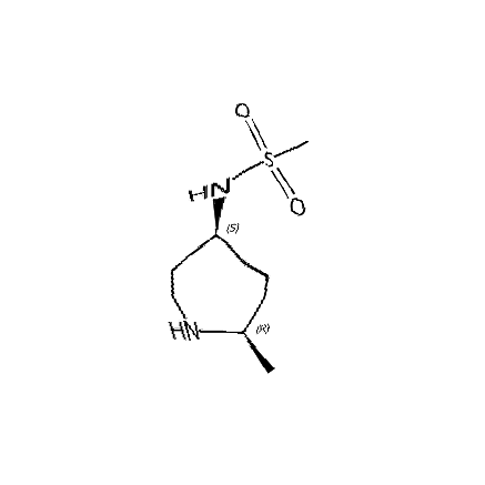 C[C@@H]1C[C@H](NS(C)(=O)=O)CN1